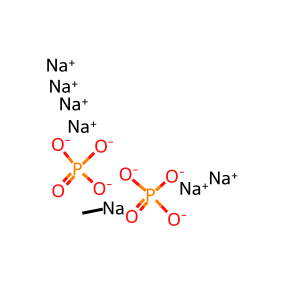 O=P([O-])([O-])[O-].O=P([O-])([O-])[O-].[CH3][Na].[Na+].[Na+].[Na+].[Na+].[Na+].[Na+]